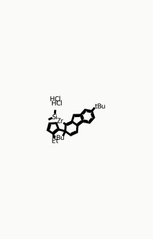 CCC1=C(C2(C(C)(C)C)C=CC3=c4ccc(C(C)(C)C)cc4=CC3=[C]2[Zr]=[Si](C)C)CC=C1.Cl.Cl